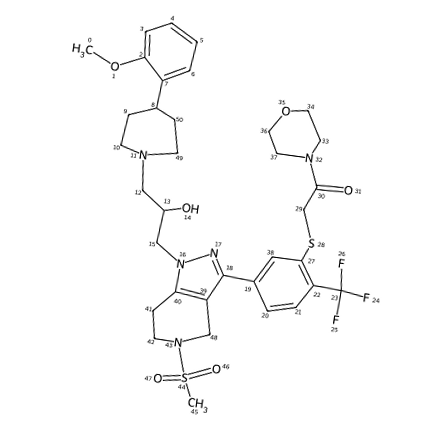 COc1ccccc1C1CCN(CC(O)Cn2nc(-c3ccc(C(F)(F)F)c(SCC(=O)N4CCOCC4)c3)c3c2CCN(S(C)(=O)=O)C3)CC1